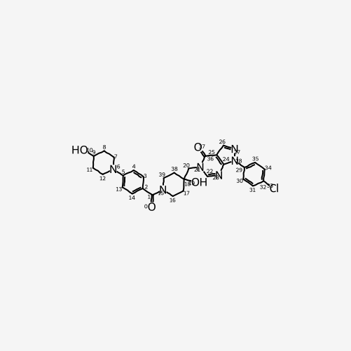 O=C(c1ccc(N2CCC(O)CC2)cc1)N1CCC(O)(Cn2cnc3c(cnn3-c3ccc(Cl)cc3)c2=O)CC1